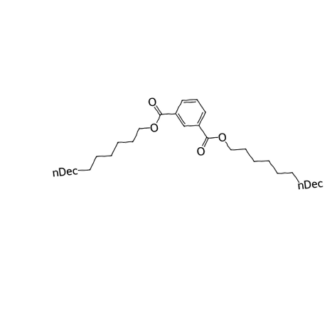 CCCCCCCCCCCCCCCCOC(=O)c1cccc(C(=O)OCCCCCCCCCCCCCCCC)c1